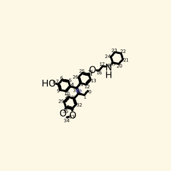 CC/C(=C(/c1ccc(O)cc1)c1ccc(OCCNC2CCCCC2)cc1)c1ccc2c(c1)OCO2